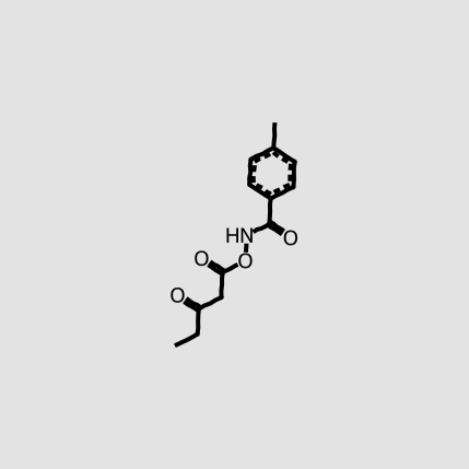 CCC(=O)CC(=O)ONC(=O)c1ccc(C)cc1